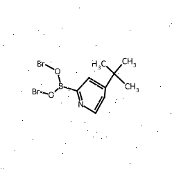 CC(C)(C)c1ccnc(B(OBr)OBr)c1